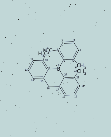 Cc1cccc(C)c1B1c2c(C)cccc2Cc2cccc(C)c21